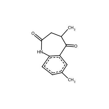 Cc1ccc2c(c1)C(=O)C(C)CC(=O)N2